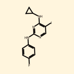 Fc1ccc(Nc2ncc(I)c(NC3CC3)n2)cc1